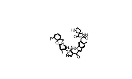 Cc1cc2cc(C(=O)c3cnn(-c4cnc(Oc5c(F)cccc5F)cc4C)c3N)[nH]c2cc1N1C(=O)NC2(CCNC2)C1=O